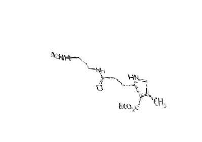 CCOC(=O)c1c(C)c[nH]c1CCC(=O)NCCNC(C)=O